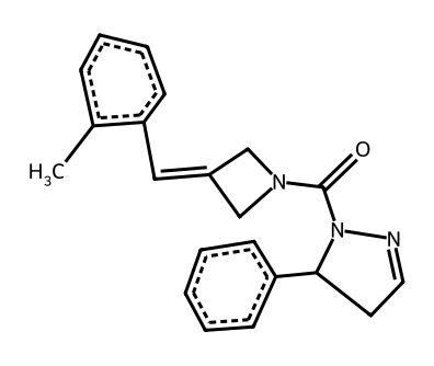 Cc1ccccc1C=C1CN(C(=O)N2N=CCC2c2ccccc2)C1